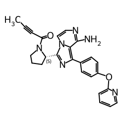 CC#CC(=O)N1CCC[C@H]1c1nc(-c2ccc(Oc3ccccn3)cc2)c2c(N)nccn12